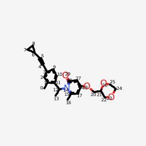 Cc1cc(C#CC2CC2)ccc1C(C)n1c(C)cc(OCC2COCCO2)cc1=O